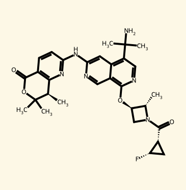 C[C@@H]1c2nc(Nc3cc4c(C(C)(C)N)cnc(O[C@@H]5CN(C(=O)[C@@H]6C[C@@H]6F)[C@H]5C)c4cn3)ccc2C(=O)OC1(C)C